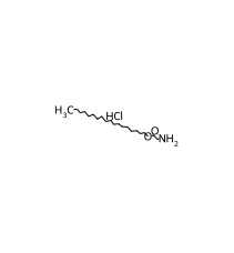 CCCCCCCCCCCCCCCCCCOC(=O)CN.Cl